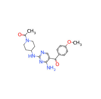 COc1ccc(C(=O)c2cnc(NC3CCN(C(C)=O)CC3)nc2N)cc1